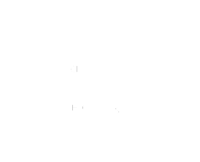 Cc1scc2cccc(Cl)c12